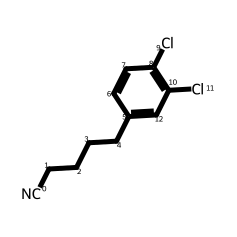 N#CCCCCc1ccc(Cl)c(Cl)c1